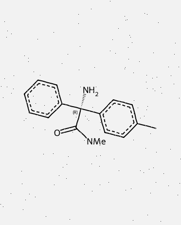 CNC(=O)[C@@](N)(c1ccccc1)c1ccc(C)cc1